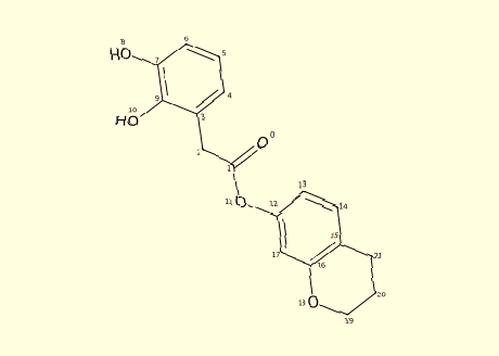 O=C(Cc1cccc(O)c1O)Oc1ccc2c(c1)OCCC2